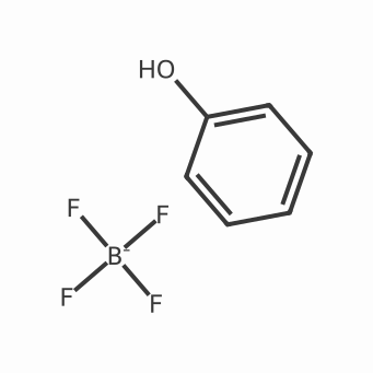 F[B-](F)(F)F.Oc1ccccc1